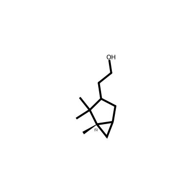 CC1(C)C(CCO)CC2C[C@@]21C